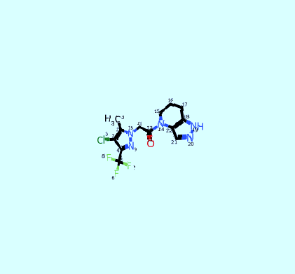 Cc1c(Cl)c(C(F)(F)F)nn1CC(=O)N1CCCc2[nH]ncc21